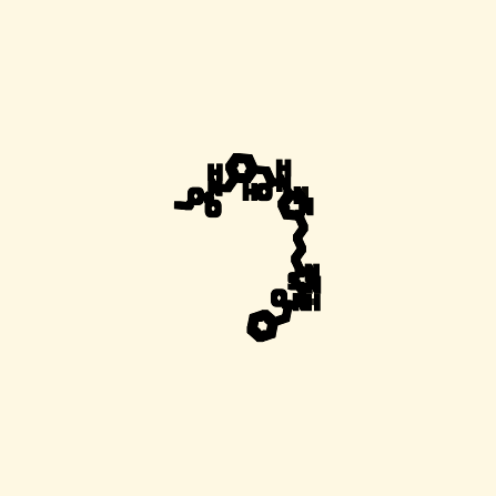 CCOC(=O)NCc1cccc(CC(O)Nc2ccc(CCCCc3nnc(NC(=O)Cc4ccccc4)s3)nn2)c1